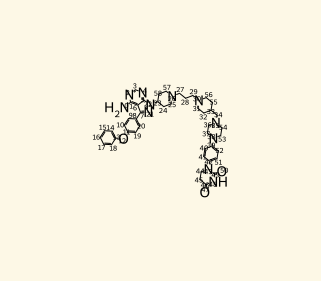 Nc1ncnc2c1c(-c1ccc(Oc3ccccc3)cc1)nn2C1CCN(CCCN2CCC(CN3CCN(c4ccc(N5CCC(=O)NC5=O)cc4)CC3)CC2)CC1